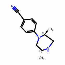 C[C@@H]1CN(c2ccc(C#N)cc2)[C@@H](C)CN1